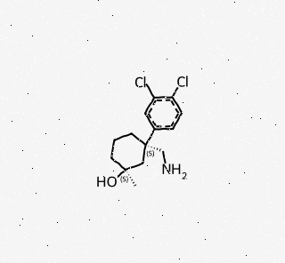 C[C@]1(O)CCC[C@@](CN)(c2ccc(Cl)c(Cl)c2)C1